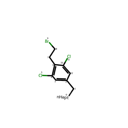 CCCCCCCCc1cc(Cl)c(CCBr)c(Cl)c1